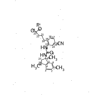 Cc1ccc2c(c1)C(C)(NC(=O)Nc1cc(C#N)ccc1CCCC(=O)OF)C[C@@H]2C